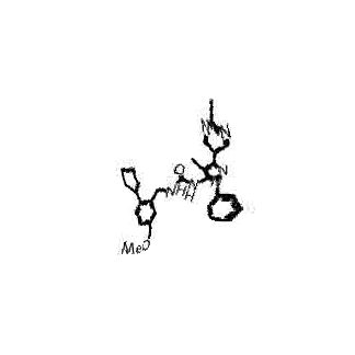 COCc1ccc(C2CCCC2)c(CNC(=O)Nc2c(C)c(-c3cnc(C)nc3)nn2-c2ccccc2)c1